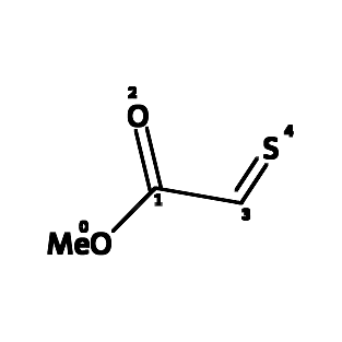 COC(=O)C=S